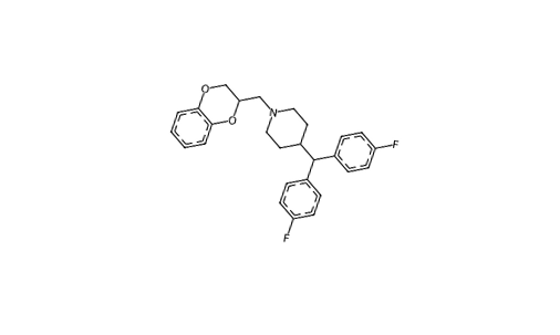 Fc1ccc(C(c2ccc(F)cc2)C2CCN(CC3COc4ccccc4O3)CC2)cc1